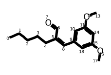 CCCCCC(C=O)=Cc1cc(OC)cc(OC)c1